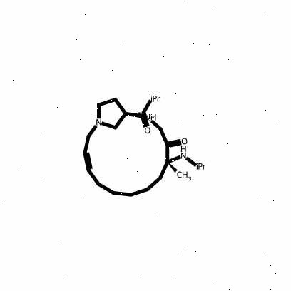 CC(C)N[C@]1(C)CCCCCC=CCN2CC[C@](C(=O)C(C)C)(C2)NCC1=O